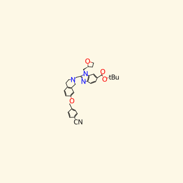 CC(C)(C)OC(=O)c1ccc2nc(CN3CCc4ccc(OCc5ccc(C#N)cc5)cc4C3)n(C[C@@H]3CCO3)c2c1